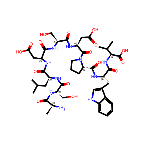 CC(C)C[C@H](NC(=O)[C@H](CO)NC(=O)[C@H](C)N)C(=O)N[C@@H](CC(=O)O)C(=O)N[C@@H](CO)C(=O)N[C@@H](CC(=O)O)C(=O)N1CCC[C@H]1C(=O)N[C@@H](Cc1c[nH]c2ccccc12)C(=O)N[C@H](C(=O)O)C(C)C